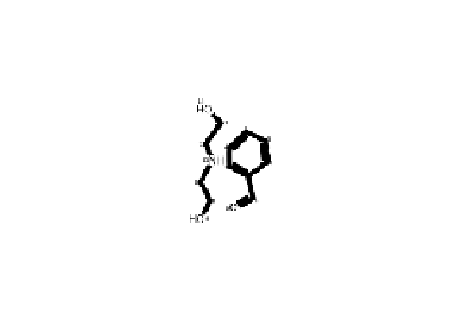 O=Cc1ccccc1.OCCNCCO